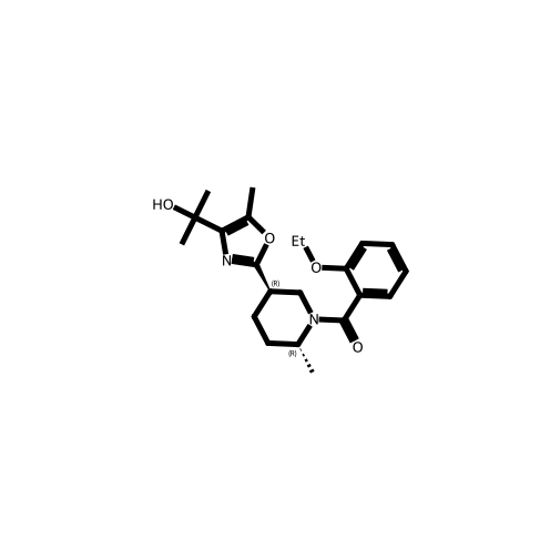 CCOc1ccccc1C(=O)N1C[C@H](c2nc(C(C)(C)O)c(C)o2)CC[C@H]1C